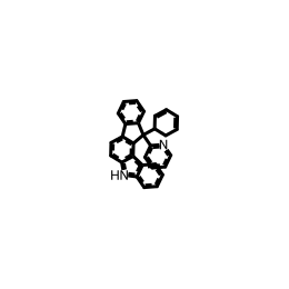 C1=CCC(C2(c3ccccn3)c3ccccc3-c3ccc4[nH]c5ccccc5c4c32)C=C1